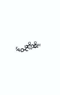 CCC(=C1CCN(CC(C)(C)F)CC1)c1scc(C(=O)NCc2c(C)cc(C)[nH]c2=O)c1C